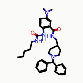 CCCCCNC(=O)Nc1ccc(N(C)C)cc1C(=O)NCC1CCN(C(c2ccccc2)c2ccccc2)CC1